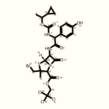 CC(OC(=O)NC(C(=O)NC1C(=O)N2C(C(=O)OCC(Cl)(Cl)Cl)C(C)(CBr)S[C@H]12)c1ccc(O)cc1)C1CC1